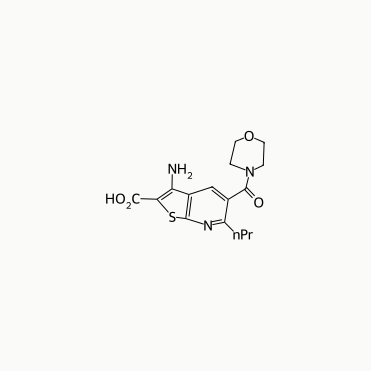 CCCc1nc2sc(C(=O)O)c(N)c2cc1C(=O)N1CCOCC1